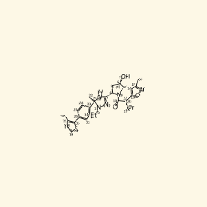 CCN1N=C(C2C[C@@H](O)CN2C(=O)[C@@H](c2cc(C)no2)C(C)C)NC1(C)c1ccc(-c2scnc2C)cc1